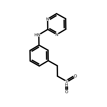 O=[SH](=O)CCc1cccc(Nc2n[c]ccn2)c1